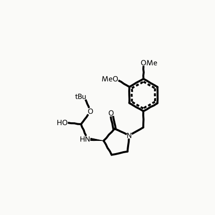 COc1ccc(CN2CC[C@@H](NC(O)OC(C)(C)C)C2=O)cc1OC